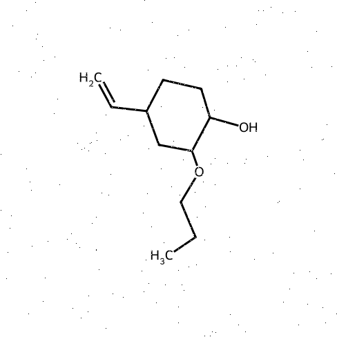 C=CC1CCC(O)C(OCCC)C1